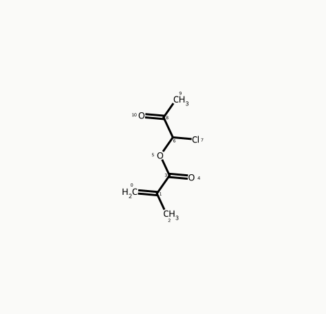 C=C(C)C(=O)OC(Cl)C(C)=O